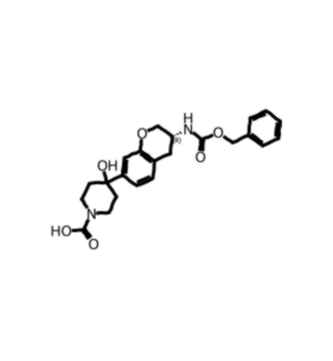 O=C(N[C@H]1COc2cc(C3(O)CCN(C(=O)O)CC3)ccc2C1)OCc1ccccc1